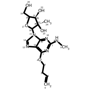 C=CCCOc1nc(NC)nc2c1ncn2C1OC(CO)[C@@H](O)[C@@]1(C)O